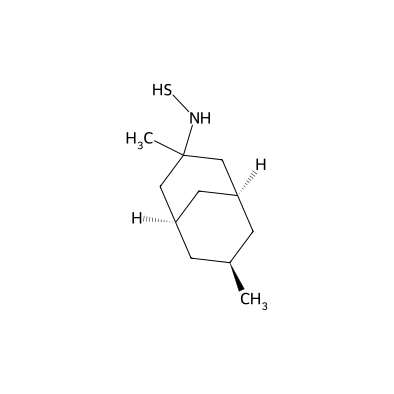 C[C@H]1C[C@@H]2C[C@H](C1)CC(C)(NS)C2